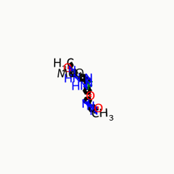 C=CC(=O)N1CCC(Nc2cc3c(Nc4ccc(Oc5ccnc(N6CCN(C)C(=O)C6)c5)cc4F)ncnc3cc2OC)CC1